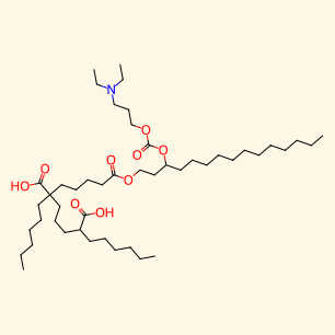 CCCCCCCCCCCCC(CCOC(=O)CCCCC(CCCCCC)(CCCC(CCCCCC)C(=O)O)C(=O)O)OC(=O)OCCCN(CC)CC